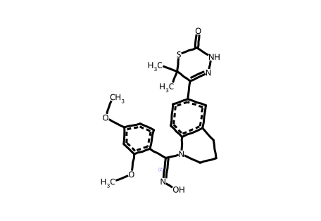 COc1ccc(/C(=N/O)N2CCCc3cc(C4=NNC(=O)SC4(C)C)ccc32)c(OC)c1